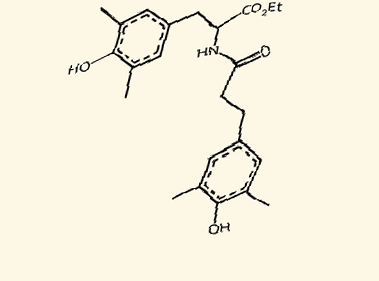 CCOC(=O)C(Cc1cc(C)c(O)c(C)c1)NC(=O)CCc1cc(C)c(O)c(C)c1